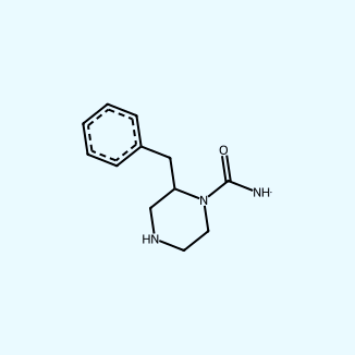 [NH]C(=O)N1CCNCC1Cc1ccccc1